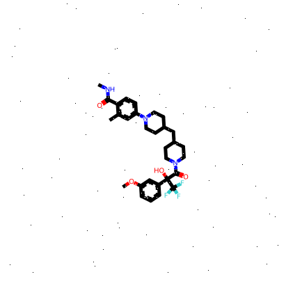 CNC(=O)c1ccc(N2CCC(CC3CCN(C(=O)C(O)(c4cccc(OC)c4)C(F)(F)F)CC3)CC2)cc1C